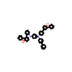 c1ccc(-c2ccc(N(c3ccc(-c4ccc5oc6ccccc6c5c4)cc3)c3ccc(-n4c5ccccc5c5c6c(ccc54)oc4ccccc46)cc3)cc2)cc1